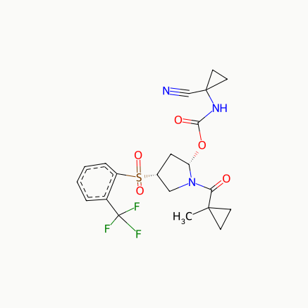 CC1(C(=O)N2C[C@H](S(=O)(=O)c3ccccc3C(F)(F)F)C[C@@H]2OC(=O)NC2(C#N)CC2)CC1